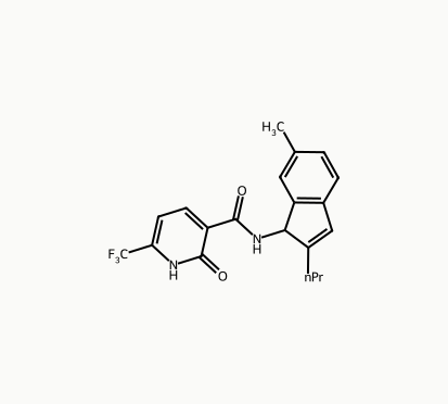 CCCC1=Cc2ccc(C)cc2C1NC(=O)c1ccc(C(F)(F)F)[nH]c1=O